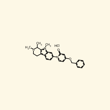 CC1c2c(c3ccc(-n4ccc(OCc5ccccc5)cc4=O)cc3n2C)CCN1C.Cl